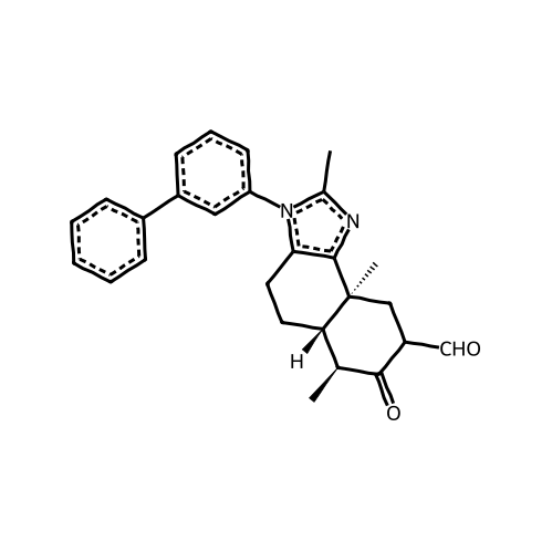 Cc1nc2c(n1-c1cccc(-c3ccccc3)c1)CC[C@H]1[C@H](C)C(=O)C(C=O)C[C@]21C